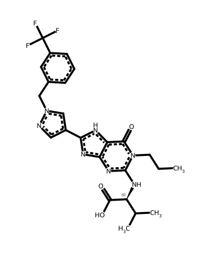 CCCn1c(N[C@H](C(=O)O)C(C)C)nc2nc(-c3cnn(Cc4cccc(C(F)(F)F)c4)c3)[nH]c2c1=O